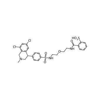 CN1Cc2c(Cl)cc(Cl)cc2C(c2ccc(S(=O)(=O)NCCOCCNC(=O)c3ccccc3S(=O)(=O)O)cc2)C1